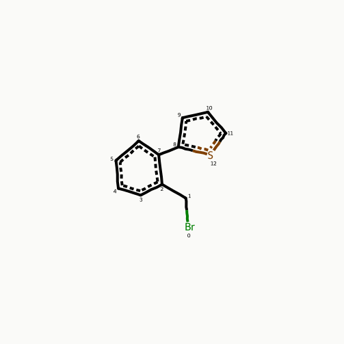 BrCc1ccccc1-c1cccs1